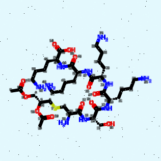 CC(=O)OC[C@H](CSC[C@H](N)C(=O)N[C@@H](CO)C(=O)N[C@@H](CCCCN)C(=O)N[C@@H](CCCCN)C(=O)N[C@@H](CCCCN)C(=O)N[C@@H](CCCCN)C(=O)O)OC(C)=O